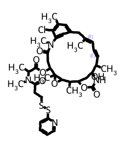 C/C1=C\C=C\C(C)C2(O)CC(OC(=O)N2)C(C)C2OC2(C)C(OC(=O)C(C)N(C)C(=O)CCSSc2ccccn2)CC(=O)N(C)c2cc(cc(C)c2Cl)C1